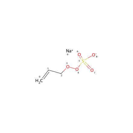 C=CCOOS(=O)(=O)[O-].[Na+]